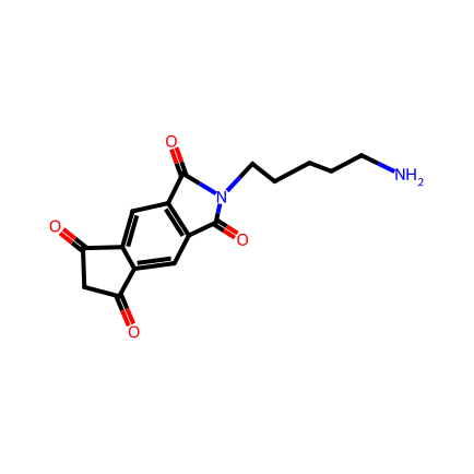 NCCCCCN1C(=O)c2cc3c(cc2C1=O)C(=O)CC3=O